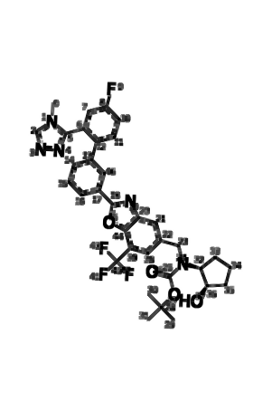 Cn1cnnc1-c1cc(F)ccc1-c1cccc(-c2nc3cc(CN(C(=O)OC(C)(C)C)[C@H]4CCC[C@H]4O)cc(C(F)(F)F)c3o2)c1